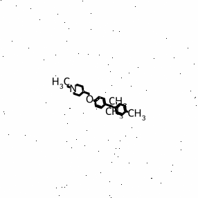 CCN1CCC(COc2ccc(C(C)(C)c3ccc(C)cc3)cc2)CC1